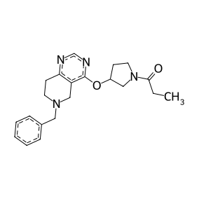 CCC(=O)N1CCC(Oc2ncnc3c2CN(Cc2ccccc2)CC3)C1